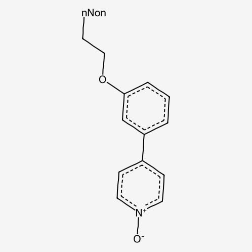 CCCCCCCCCCCOc1cccc(-c2cc[n+]([O-])cc2)c1